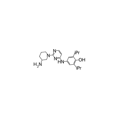 CC(C)c1cc(Nc2ccnc(N3CCCC(N)C3)n2)cc(C(C)C)c1O